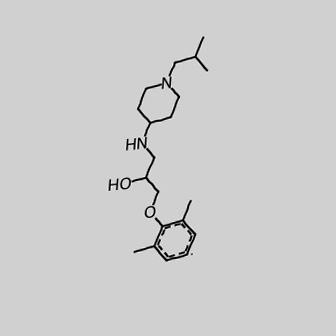 Cc1c[c]cc(C)c1OCC(O)CNC1CCN(CC(C)C)CC1